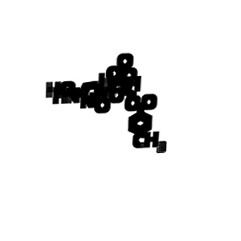 Cc1ccc(C(=O)OCC2O[C@@H](n3ccc(NO)nc3=O)[C@@H]3OC(=O)O[C@H]23)cc1